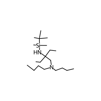 CCCCN(CCCC)CC(CC)(CC)N[Si](C)(C)C(C)(C)C